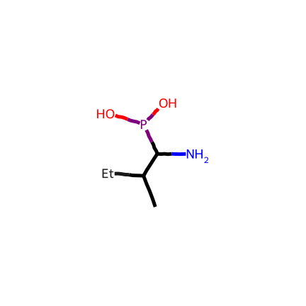 CCC(C)C(N)P(O)O